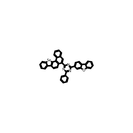 c1ccc(-c2nc(-c3ccc4c(c3)oc3ccccc34)nc(-c3cc4ccccc4c4c3ccc3c5ccccc5[se]c34)n2)cc1